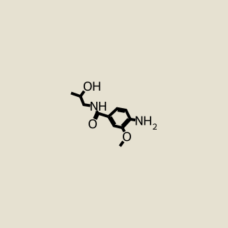 COc1cc(C(=O)NCC(C)O)ccc1N